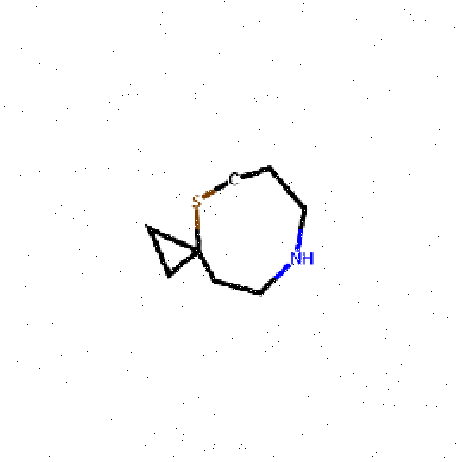 C1CNCCC2(CC2)SC1